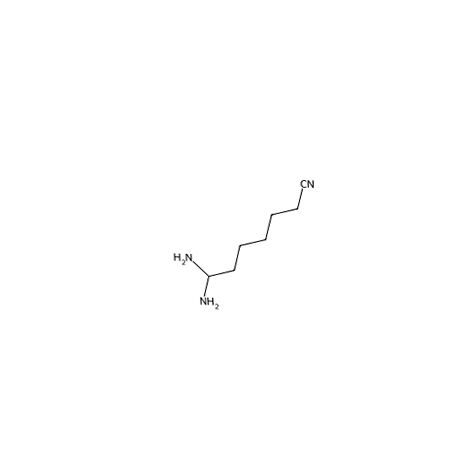 N#CCCCCCC(N)N